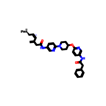 C=C(/C=C\C[C@H](C)CCC)CC(=O)Nc1ccc(N2CCC(Oc3ccc(NC(=O)Cc4ccccc4)cn3)CC2)nc1